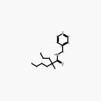 CCCCC(C)(CCC)C(=O)NCc1ccncc1